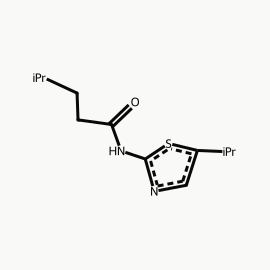 CC(C)CCC(=O)Nc1ncc(C(C)C)s1